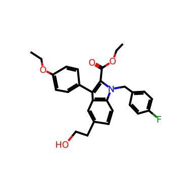 CCOC(=O)c1c(-c2ccc(OCC)cc2)c2cc(CCO)ccc2n1Cc1ccc(F)cc1